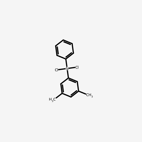 Cc1cc(C)cc([Si](Cl)(Cl)c2ccccc2)c1